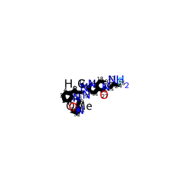 COc1cccc2cc(-c3nc4cc5c(nc4n3C)CCN(C[C@H](N)CF)C5=O)n(Cc3ncco3)c12